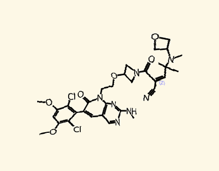 CNc1ncc2cc(-c3c(Cl)c(OC)cc(OC)c3Cl)c(=O)n(CCOC3CN(C(=O)/C(C#N)=C\C(C)(C)N(C)C4COC4)C3)c2n1